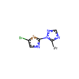 CC(C)c1ncnn1-c1ncc(Br)s1